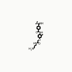 Cc1cc(OCC(=O)NCCCN)ccc1NC(=O)c1ccc(C(=N)N(C)C)cc1